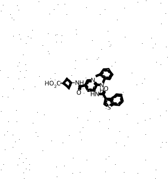 Cc1ccccc1Nc1ncc(C(=O)N[C@H]2C[C@H](C(=O)O)C2)cc1NC(=O)c1csc2ccccc12